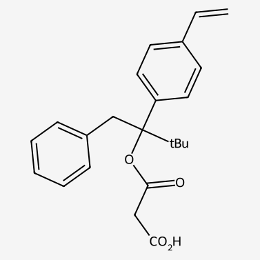 C=Cc1ccc(C(Cc2ccccc2)(OC(=O)CC(=O)O)C(C)(C)C)cc1